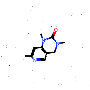 Cc1cc2c(cn1)CN(C)C(=O)N2C